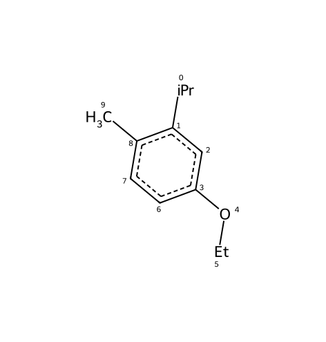 [CH2]C(C)c1cc(OCC)ccc1C